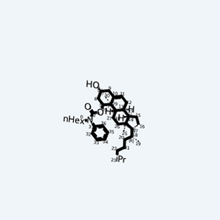 CCCCCCN(C(=O)OC1C[C@H](O)CC2=CC[C@H]3[C@@H]4CC[C@H]([C@H](C)CCCC(C)C)[C@@]4(C)CC[C@@H]3[C@]21C)c1ccccc1